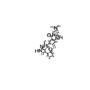 C=C/C(=C\c1c(-c2ccccc2OC)c[nH]c1N)c1ccc2c(c1)C(=O)N(CCN(C)C)C(C)(C)N2